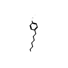 CCCCCCCc1ccc(N=C=O)cc1